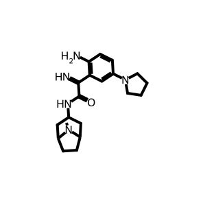 CN1C2CCC1CC(NC(=O)C(=N)c1cc(N3CCCC3)ccc1N)C2